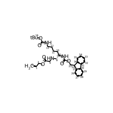 C=CCOC(=O)CNC[C@H](CCCCNC(=O)OC(C)(C)C)NC(=O)OCC1c2ccccc2-c2ccccc21